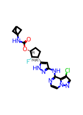 O=C(NC12CC(C1)C2)O[C@@H]1CC[C@H](c2cc(Nc3nccn4ncc(Cl)c34)n[nH]2)[C@@H]1F